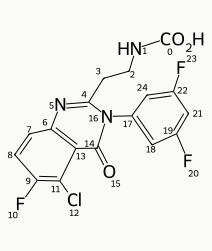 O=C(O)NCCc1nc2ccc(F)c(Cl)c2c(=O)n1-c1cc(F)cc(F)c1